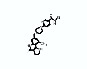 CCNC(=O)c1ccc(N2CCN(Cc3cc(C)c4c5c(c(=O)[nH]c4c3)CCCN5)CC2)nc1